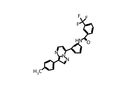 Cc1ccc(-c2cnn3c(-c4cccc(NC(=O)c5cccc(C(F)(F)F)c5)c4)ccnc23)cc1